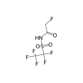 O=C(CF)NS(=O)(=O)C(F)(F)C(F)(F)F